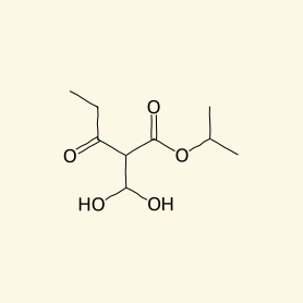 CCC(=O)C(C(=O)OC(C)C)C(O)O